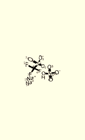 O=S(=O)([O-])C(F)(F)F.O=S(=O)([O-])O.[Na+].[Na+]